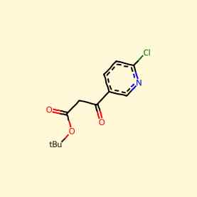 CC(C)(C)OC(=O)CC(=O)c1ccc(Cl)nc1